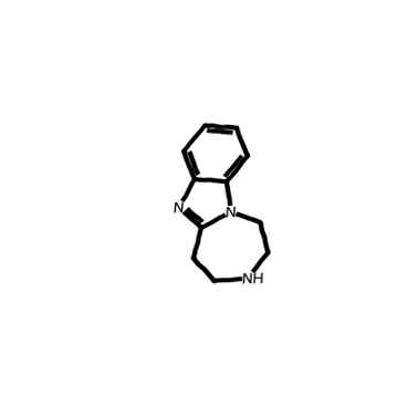 c1ccc2c(c1)nc1n2CCNCC1